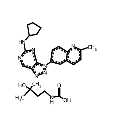 CC(C)(O)CCNC(=O)O.Cc1ccc2cc(-n3nnc4cnc(NC5CCCC5)nc43)ccc2n1